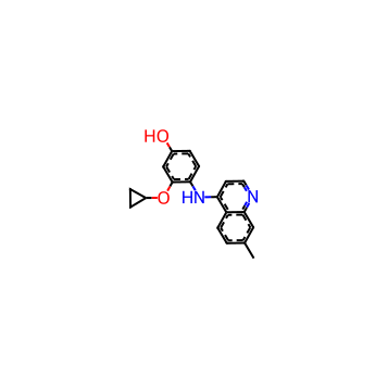 Cc1ccc2c(Nc3ccc(O)cc3OC3CC3)ccnc2c1